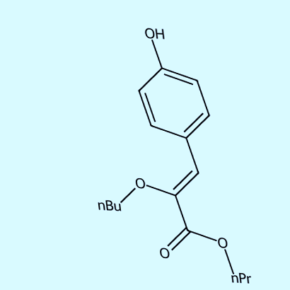 CCCCOC(=Cc1ccc(O)cc1)C(=O)OCCC